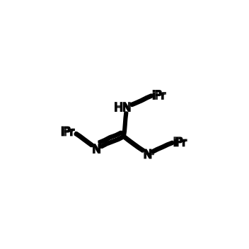 CC(C)[N]/C(=N/C(C)C)NC(C)C